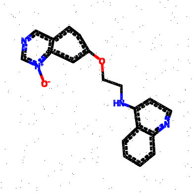 [O-][n+]1cncc2ccc(OCCNc3ccnc4ccccc34)cc21